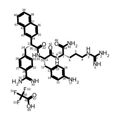 N=C(N)NCCC[C@H](NC(=O)[C@H](Cc1ccc(N)cc1)NC(=O)[C@H](Cc1ccc(C(=N)N)cc1)c1ccc2ccccc2c1)C(N)=O.O=C(O)C(F)(F)F